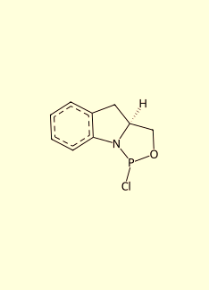 ClP1OC[C@@H]2Cc3ccccc3N21